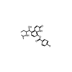 CCC(NC(C)C)C(O)c1ccc(OC(=O)c2ccc(F)cc2)c2[nH]c(=O)ccc12